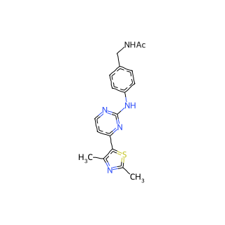 CC(=O)NCc1ccc(Nc2nccc(-c3sc(C)nc3C)n2)cc1